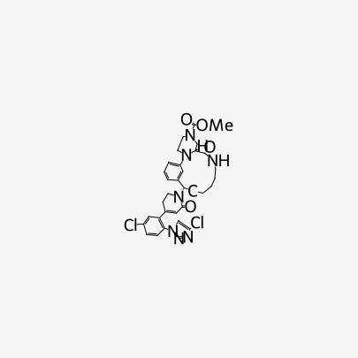 COC(=O)N1CCN2c3cccc(c3)[C@@H](N3CCC(c4cc(Cl)ccc4-n4cc(Cl)nn4)=CC3=O)CCCCCNC(=O)[C@H]2C1